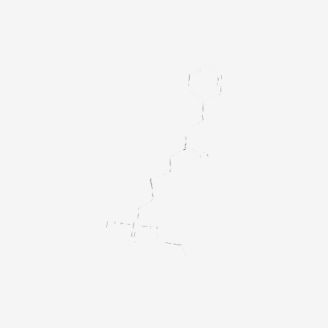 CCOOP(=O)(O)CCCCCC(=O)OCc1ccccc1